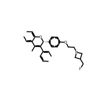 C/C=C\C(=C/C)C1=C(C)C(=C/C)/C(=C\C)O[C@@H]1c1ccc(OCCN2CC(CF)C2)cc1